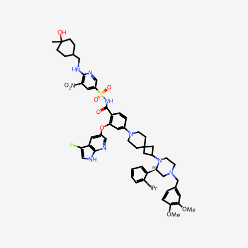 COc1ccc(CN2CCN(C3CC4(CCN(c5ccc(C(=O)NS(=O)(=O)c6cnc(NCC7CCC(C)(O)CC7)c([N+](=O)[O-])c6)c(Oc6cnc7[nH]cc(F)c7c6)c5)CC4)C3)[C@H](c3ccccc3C(C)C)C2)cc1OC